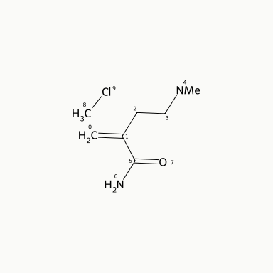 C=C(CCNC)C(N)=O.CCl